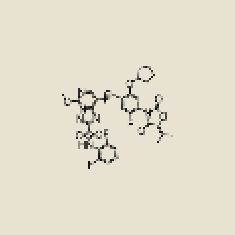 CC(C)=C1OC(=O)N(c2cc(OC3CCCC3)c(Cl)cc2F)C1=O.COc1ncc(F)c2nc(S(=O)(=O)Nc3c(F)cccc3F)nn12